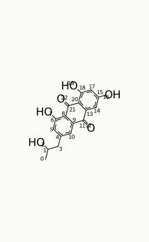 CC(O)Cc1cc(O)c2c(c1)C(=O)c1cc(O)cc(O)c1C2=O